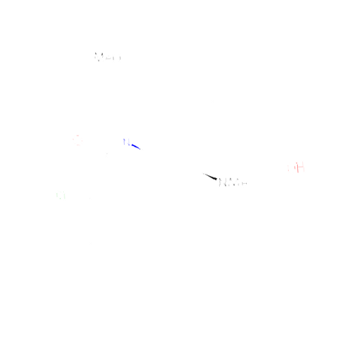 CN[C@H]1CC[C@@H](N(Cc2cc(-c3ccc(CO)cc3)ccc2OC)C(=O)C2=C(Cl)c3ccccc3C2)CC1